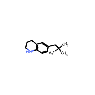 CC(C)(C)Cc1ccc2c(c1)CCCN2